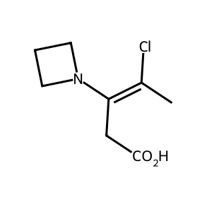 CC(Cl)=C(CC(=O)O)N1CCC1